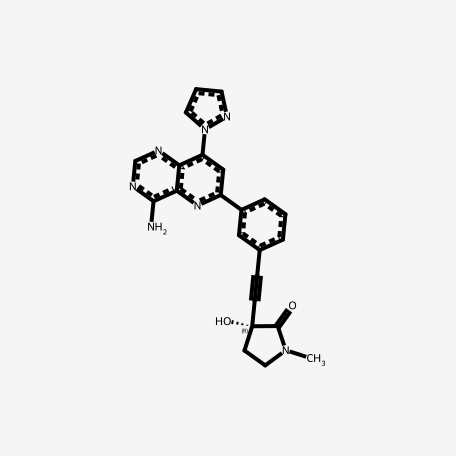 CN1CC[C@@](O)(C#Cc2cccc(-c3cc(-n4cccn4)c4ncnc(N)c4n3)c2)C1=O